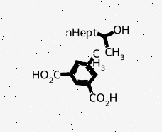 CCCCCCCC(C)O.Cc1cc(C(=O)O)cc(C(=O)O)c1